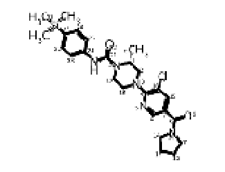 C[C@@H]1CN(c2ncc(C(=O)N3CCCC3)cc2Cl)CCN1C(=O)Nc1ccc([Si](C)(C)C)cc1